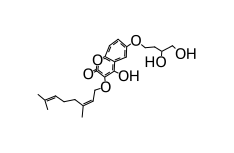 CC(C)=CCCC(C)=CCOc1c(O)c2cc(OCCC(O)CO)ccc2oc1=O